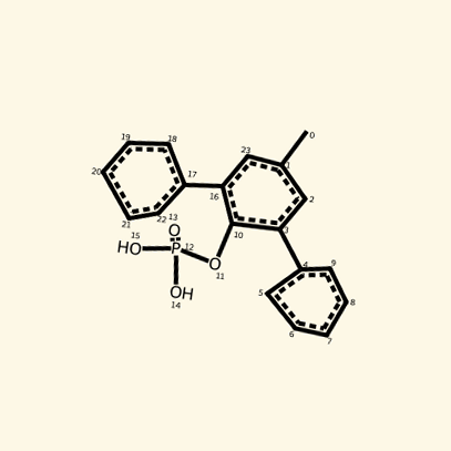 Cc1cc(-c2ccccc2)c(OP(=O)(O)O)c(-c2ccccc2)c1